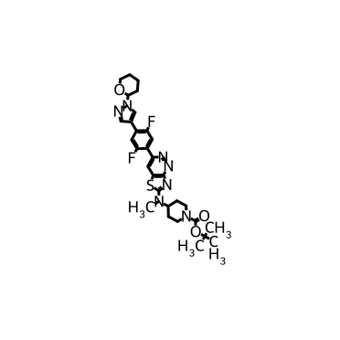 CN(c1nc2nnc(-c3cc(F)c(-c4cnn(C5CCCCO5)c4)cc3F)cc2s1)C1CCN(C(=O)OC(C)(C)C)CC1